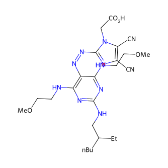 CCCCC(CC)CNc1nc(NCCOC)c(/N=N\c2nc(C#N)c(C#N)n2CC(=O)O)c(NCCOC)n1